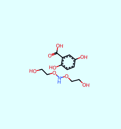 O=C(O)c1cc(O)ccc1O.OCCONOCCO